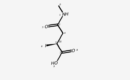 CNC(=O)C[C@H](I)C(=O)O